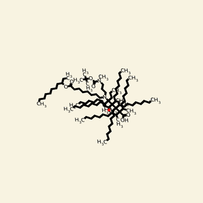 CCCCCCCCC(CC)OC(=O)CCCCCCCN(CCCN(C)C(=O)OC(C)(C)C)C(CCC)(C(C)CCCCCCCC)C(C(C)CCCCCCCC)(C(C)CCCCCCCC)C(C(C)CCCCCCCC)(C(C)CCCCCCCC)C(C(=O)O)(C(C)CCCCCCCC)C(C)CCCCCCCC